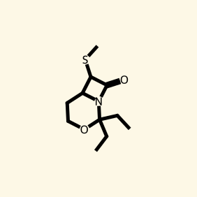 CCC1(CC)OCCC2C(SC)C(=O)N21